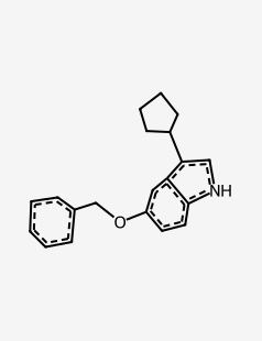 c1ccc(COc2ccc3[nH]cc(C4CCCC4)c3c2)cc1